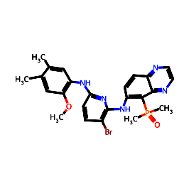 COc1cc(C)c(C)cc1Nc1ccc(Br)c(Nc2ccc3nccnc3c2P(C)(C)=O)n1